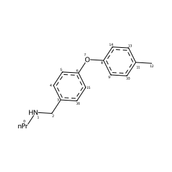 CCCNCc1ccc(Oc2ccc(C)cc2)cc1